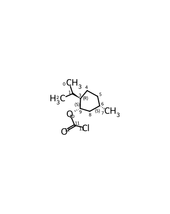 CC(C)[C@H]1CC[C@H](C)C[C@@H]1OC(=O)Cl